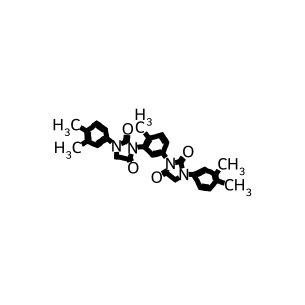 Cc1ccc(N2CC(=O)N(c3ccc(C)c(N4C(=O)CN(c5ccc(C)c(C)c5)C4=O)c3)C2=O)cc1C